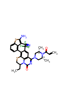 C=CC(=O)N1[C@H](C)CN(c2nc(=O)n3c4c(c(-c5cccc6sc(N)c(C#N)c56)c(C(F)(F)F)cc24)SCC3CC)C[C@@H]1C